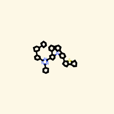 c1ccc(-c2cccc(-c3cccc(-c4nc(-c5ccccc5)nc(-c5ccc(-n6c7ccccc7c7ccc(-c8cccc9c8sc8ccccc89)cc76)c(-c6ccccc6)c5)n4)c3)c2)cc1